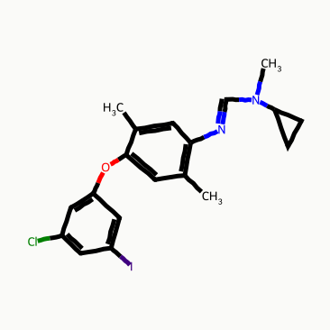 Cc1cc(Oc2cc(Cl)cc(I)c2)c(C)cc1N=CN(C)C1CC1